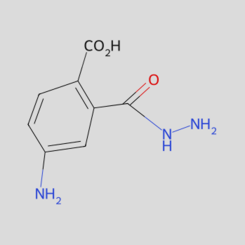 NNC(=O)c1cc(N)ccc1C(=O)O